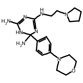 NC1=NC(NCCN2CCCC2)=NC(N)(c2ccc(N3CCOCC3)cc2)N1